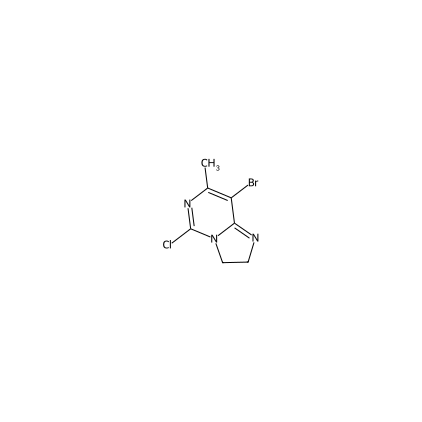 CC1=C(Br)C2=NCCN2C(Cl)=N1